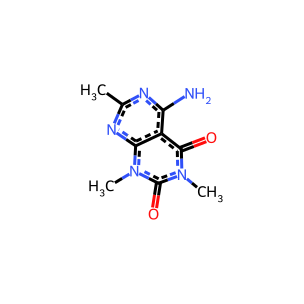 Cc1nc(N)c2c(=O)n(C)c(=O)n(C)c2n1